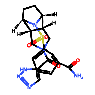 NC(=O)c1cccc(S(=O)(=O)N2[C@@H]3CC[C@H]2[C@@H]2CN(C(=O)c4cnn[nH]4)C[C@@H]23)c1